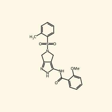 COc1ccccc1C(=O)Nc1[nH]nc2c1CN(S(=O)(=O)c1ccccc1C)C2